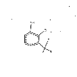 FC(F)(F)c1cccc(S)c1Cl